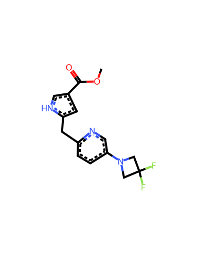 COC(=O)c1c[nH]c(Cc2ccc(N3CC(F)(F)C3)cn2)c1